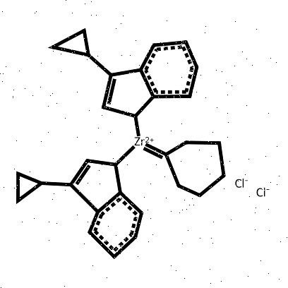 C1=C(C2CC2)c2ccccc2[CH]1[Zr+2](=[C]1CCCCC1)[CH]1C=C(C2CC2)c2ccccc21.[Cl-].[Cl-]